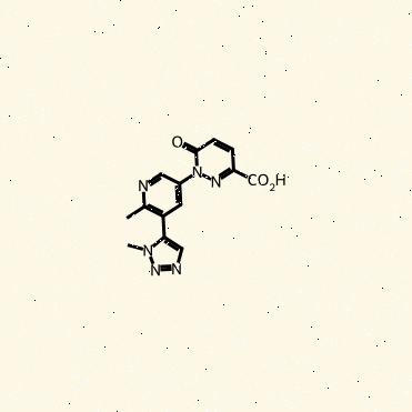 Cc1ncc(-n2nc(C(=O)O)ccc2=O)cc1-c1cnnn1C